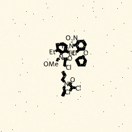 C=CCN(CC=C)C(=O)C(Cl)Cl.CCc1cccc(CC)c1N(COC)C(=O)CCl.Nc1c([N+](=O)[O-])ccc(Oc2ccccc2)c1Cl